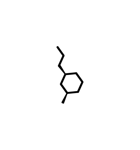 CCC[C@H]1CCC[C@@H](C)C1